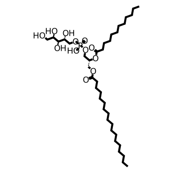 CCCCCCCCCCCCCCCCCC(=O)OC[C@H](COP(=O)(O)OC[C@@H](O)[C@@H](O)[C@H](O)CO)OC(=O)CCCCCCCCCCC